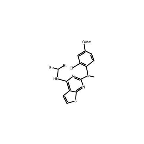 CCC(CC)Nc1nc(N(C)c2ccc(OC)cc2Cl)nc2sccc12